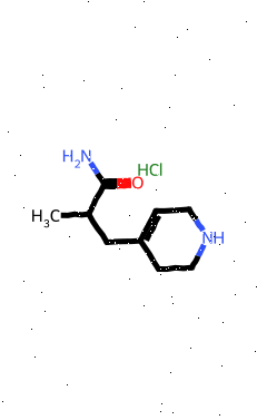 CC(CC1=CCNCC1)C(N)=O.Cl